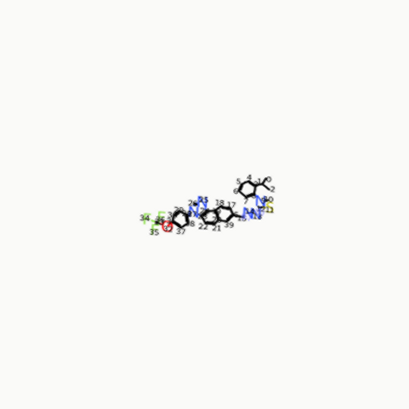 CC(C)c1ccccc1N1CS/C1=N/N=C/c1ccc2c(ccc3c2ncn3-c2ccc(OC(F)(F)F)cc2)c1